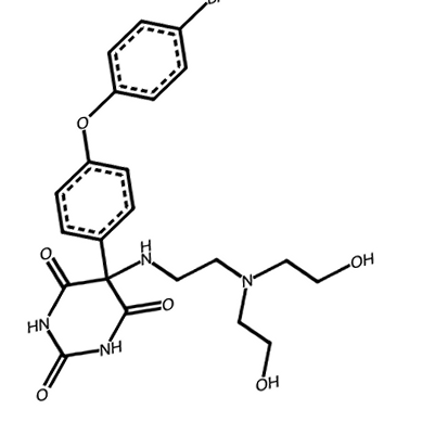 O=C1NC(=O)C(NCCN(CCO)CCO)(c2ccc(Oc3ccc(Br)cc3)cc2)C(=O)N1